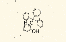 CC1(c2ccccc2-c2cccc(O)c2)c2ccccc2-c2ccccc21